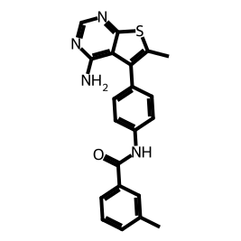 Cc1cccc(C(=O)Nc2ccc(-c3c(C)sc4ncnc(N)c34)cc2)c1